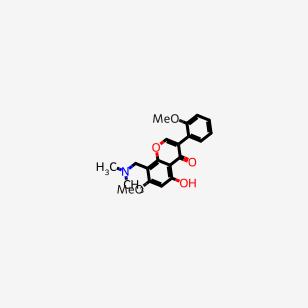 COc1ccccc1-c1coc2c(CN(C)C)c(OC)cc(O)c2c1=O